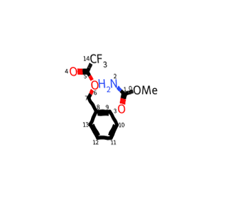 COC(N)=O.O=C(OCc1ccccc1)C(F)(F)F